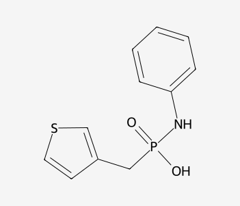 O=P(O)(Cc1ccsc1)Nc1ccccc1